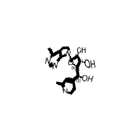 Cc1cc([C@H](O)[C@H]2O[C@@H](n3ccc4c(C)ncnc43)[C@H](O)[C@@H]2O)ccn1